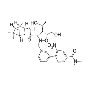 C[C@@H]1[C@@H](NC(=O)[C@@H]2[C@H]([C@H](C)O)C(CO)ON2Cc2cccc(-c3ccc(C(=O)N(C)C)cc3[N+](=O)[O-])c2)C[C@H]2C[C@@H]1C2(C)C